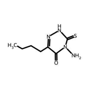 CCCCc1n[nH]c(=S)n(N)c1=O